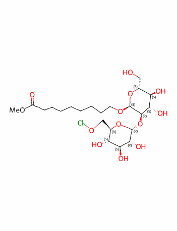 COC(=O)CCCCCCCCO[C@H]1O[C@H](CO)[C@@H](O)[C@H](O)[C@H]1O[C@H]1O[C@H](COCl)[C@@H](O)[C@H](O)[C@H]1O